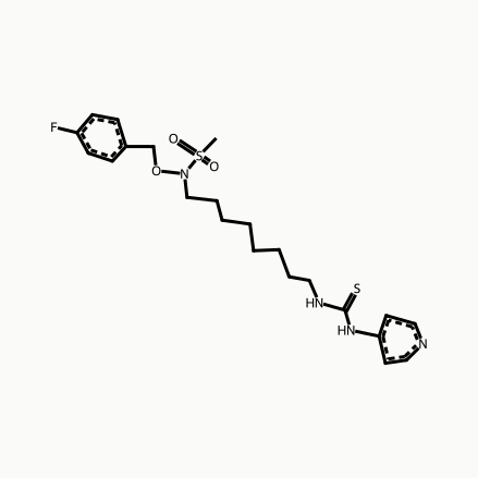 CS(=O)(=O)N(CCCCCCCCNC(=S)Nc1ccncc1)OCc1ccc(F)cc1